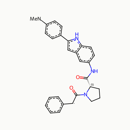 CNc1ccc(-c2cc3cc(NC(=O)[C@@H]4CCCN4C(=O)[CH]c4ccccc4)ccc3[nH]2)cc1